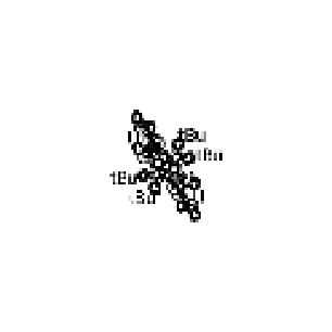 CC(C)(C)c1ccc(Oc2cc3c4c(cc(Oc5ccc(C(C)(C)C)cc5)c5c6c(Oc7ccc(C(C)(C)C)cc7)cc7c8c(cc(Oc9ccc(C(C)(C)C)cc9)c(c2c45)c86)C(=O)N(C(C(=O)Nc2cccc4c2oc2ccccc24)C2CCCCC2)C7=O)C(=O)N(C(C(=O)Nc2cccc4c2oc2ccccc24)C2CCCCC2)C3=O)cc1